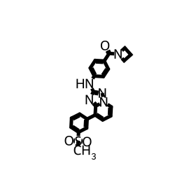 CS(=O)(=O)c1cccc(-c2cccn3nc(Nc4ccc(C(=O)N5CCC5)cc4)nc23)c1